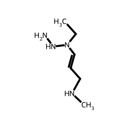 CCN(/C=C/CNC)NN